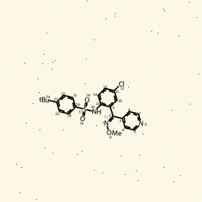 CO/N=C(\c1ccncc1)c1cc(Cl)ccc1NS(=O)(=O)c1ccc(C(C)(C)C)cc1